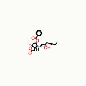 CCC#CC[C@H](O)/C=C/[C@@H]1[C@H]2CC(=O)O[C@H]2C[C@H]1OC(=O)c1ccccc1